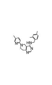 Cc1ccc(N2CCc3ncnc(NCc4ccc(C)cc4C)c3C2)nc1